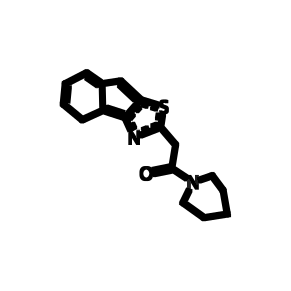 O=C(Cc1nc2c(s1)=CC1=CC=CCC=21)N1CCCCC1